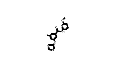 COc1cccc(NC(=O)c2cc(F)cc(Oc3cncnc3)c2)n1